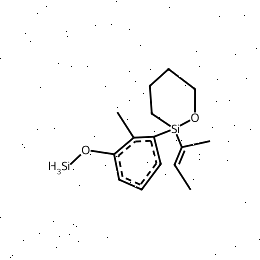 CC=C(C)[Si]1(c2cccc(O[SiH3])c2C)CCCCO1